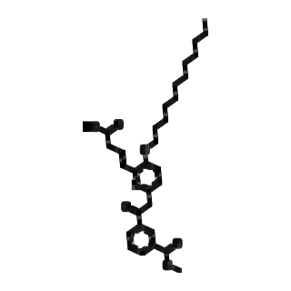 CCCCCCCCCCCCOc1ccc(CC(=O)c2cccc(C(=O)OC)c2)nc1/C=C/CC(=O)O